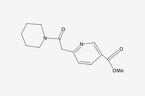 COC(=O)c1ccc(CC(=O)N2CCCCC2)nc1